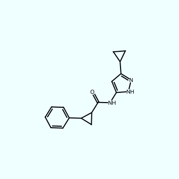 O=C(Nc1cc(C2CC2)n[nH]1)C1CC1c1ccccc1